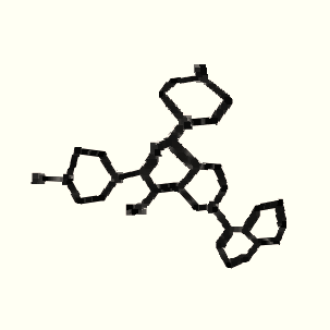 CCN1CCN(c2nc(N3CCNCC3)c3c(c2C#N)CN(c2cccc4ccccc24)CC3)CC1